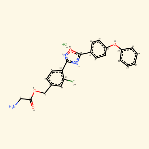 Cl.NCC(=O)OCc1ccc(-c2noc(-c3ccc(Oc4ccccc4)cc3)n2)c(Cl)c1